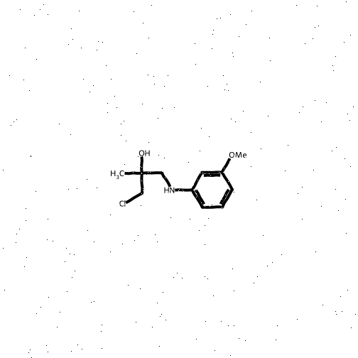 COc1cccc(NCC(C)(O)CCl)c1